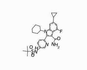 CC(C)(C)S(=O)(=O)Nc1ccc(-c2c(C(N)=O)c3c(F)cc(C4CC4)cc3n2C2CCCCC2)nc1